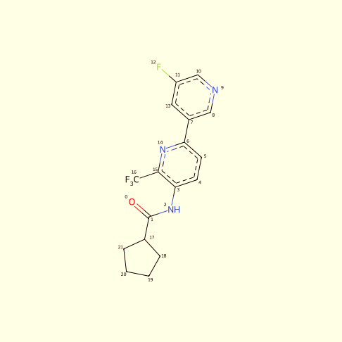 O=C(Nc1ccc(-c2cncc(F)c2)nc1C(F)(F)F)C1CCCC1